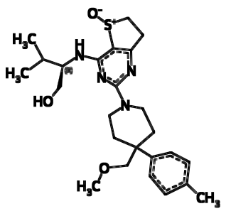 COCC1(c2ccc(C)cc2)CCN(c2nc3c(c(N[C@@H](CO)C(C)C)n2)[S+]([O-])CC3)CC1